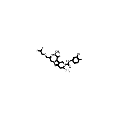 CC1Cc2nn3c(c2CN1C(=O)Nc1ccc(F)c(Br)c1)C(=O)N(C)N=C(COCC(F)F)C3